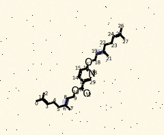 CC(C)=CCC/C(C)=C/COC(=O)c1ccc(OC/C=C(\C)CCC=C(C)C)nc1